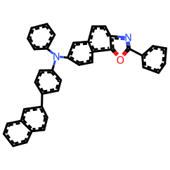 c1ccc(-c2nc3ccc4cc(N(c5ccccc5)c5ccc(-c6ccc7ccccc7c6)cc5)ccc4c3o2)cc1